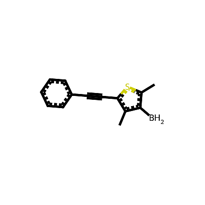 Bc1c(C)sc(C#Cc2ccccc2)c1C